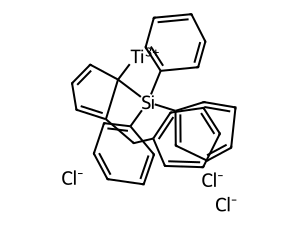 [Cl-].[Cl-].[Cl-].[Ti+3][C]1([Si](c2ccccc2)(c2ccccc2)c2ccccc2)C=CC=C1Cc1ccccc1